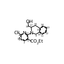 CCOC(=O)c1cnc(Cl)nc1N1Cc2ccccc2CC1CO